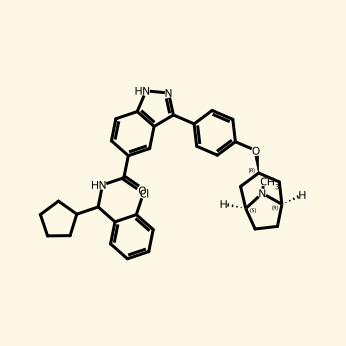 CN1[C@@H]2CC[C@H]1C[C@@H](Oc1ccc(-c3n[nH]c4ccc(C(=O)NC(c5ccccc5Cl)C5CCCC5)cc34)cc1)C2